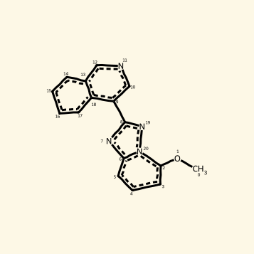 COc1cccc2nc(-c3cncc4ccccc34)nn12